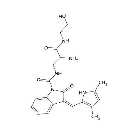 Cc1cc(C)c(/C=C2\C(=O)N(C(=O)NCC(N)C(=O)NCCO)c3ccccc32)[nH]1